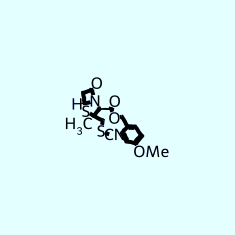 COc1ccc(COC(=O)[C@@H]2N3C(=O)C[C@@H]3S[C@@]2(C)CSC#N)cc1